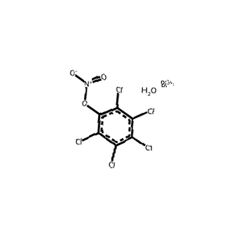 O.O=[N+]([O-])Oc1c(Cl)c(Cl)c(Cl)c(Cl)c1Cl.[Bi+3]